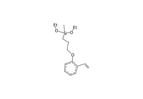 C=Cc1ccccc1OCCC[Si](C)(OCC)OCC